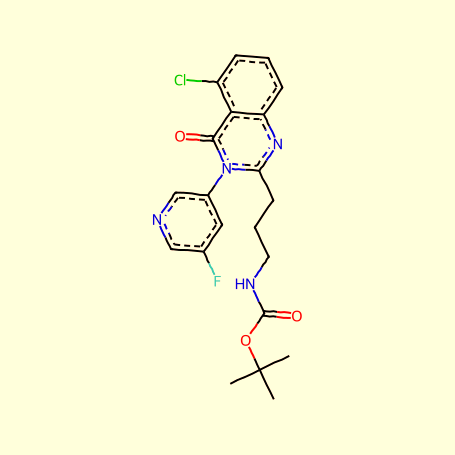 CC(C)(C)OC(=O)NCCCc1nc2cccc(Cl)c2c(=O)n1-c1cncc(F)c1